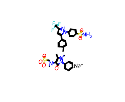 Cc1c(N(C)CS(=O)(=O)[O-])c(=O)n(-c2ccccc2)n1C.Cc1ccc(-c2cc(C(F)(F)F)nn2-c2ccc(S(N)(=O)=O)cc2)cc1.[Na+]